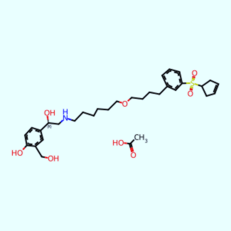 CC(=O)O.O=S(=O)(c1cccc(CCCCOCCCCCCNC[C@H](O)c2ccc(O)c(CO)c2)c1)C1CC=CC1